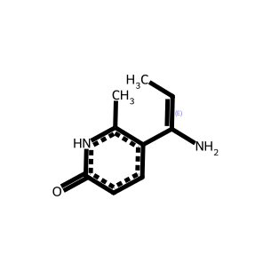 C/C=C(/N)c1ccc(=O)[nH]c1C